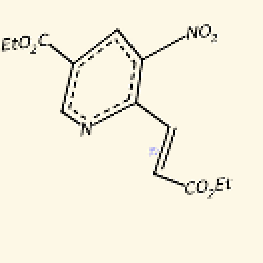 CCOC(=O)/C=C/c1ncc(C(=O)OCC)cc1[N+](=O)[O-]